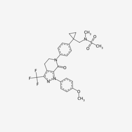 COc1ccc(-n2nc(C(F)(F)F)c3c2C(=O)N(c2ccc(C4(CN(C)S(C)(=O)=O)CC4)cc2)CC3)cc1